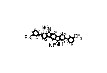 N#C/N=C1\c2cc(-c3cccc(C(F)(F)F)c3)ccc2-c2cc3c(cc21)-c1ccc(-c2cccc(C(F)(F)F)c2)cc1C3NC#N